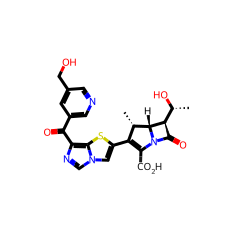 C[C@@H](O)[C@H]1C(=O)N2C(C(=O)O)=C(c3cn4cnc(C(=O)c5cncc(CO)c5)c4s3)[C@H](C)[C@H]12